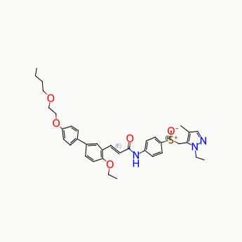 CCCCOCCOc1ccc(-c2ccc(OCC)c(/C=C/C(=O)Nc3ccc([S@@+]([O-])Cc4c(C)cnn4CC)cc3)c2)cc1